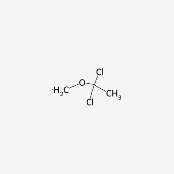 [CH2]OC(C)(Cl)Cl